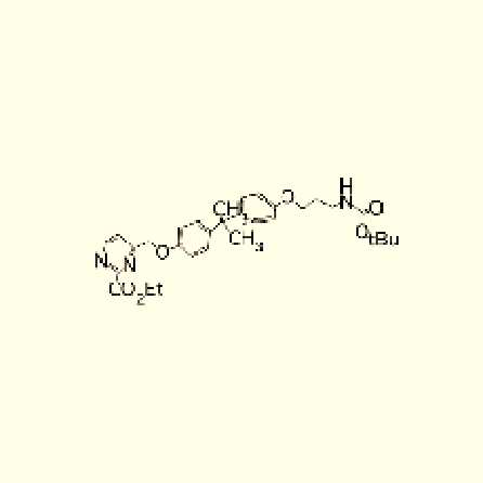 CCOC(=O)c1nccc(COc2ccc(C(C)(C)c3ccc(OCCCNC(=O)OC(C)(C)C)cc3)cc2)n1